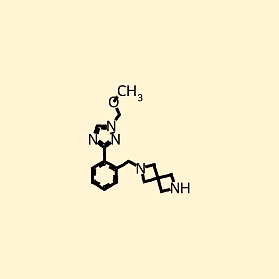 COCn1cnc(-c2ccccc2CN2CC3(CNC3)C2)n1